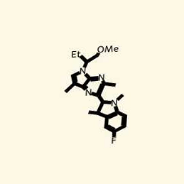 CCC(COC)n1cc(C)c2nc(C3C(C)c4cc(F)ccc4N3C)c(C)nc21